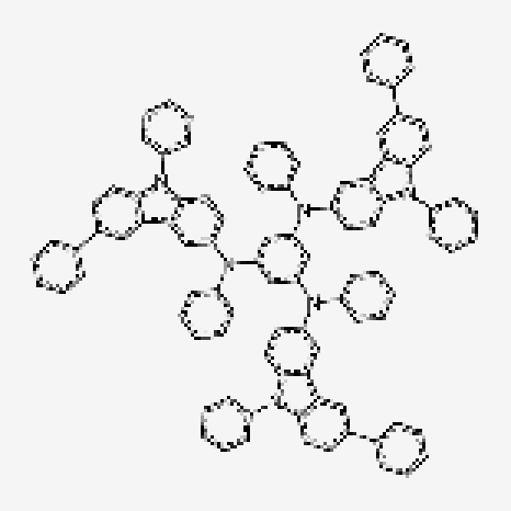 c1ccc(-c2ccc3c(c2)c2cc(N(c4ccccc4)c4cc(N(c5ccccc5)c5ccc6c(c5)c5cc(-c7ccccc7)ccc5n6-c5ccccc5)cc(N(c5ccccc5)c5ccc6c(c5)c5cc(-c7ccccc7)ccc5n6-c5ccccc5)c4)ccc2n3-c2ccccc2)cc1